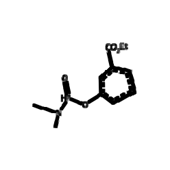 CCOC(=O)c1cccc(O[PH](=O)N(C)C)c1